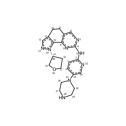 c1cc(Nc2ncc3c(n2)-c2c(cnn2[C@@H]2CCOC2)CC3)ncc1N1CCNCC1